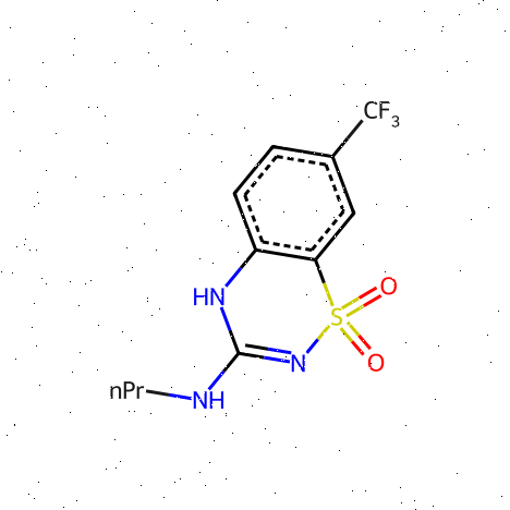 CCCNC1=NS(=O)(=O)c2cc(C(F)(F)F)ccc2N1